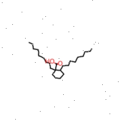 CCCCCCCCCC1CCCCC1(CCCCCCCCC)C(=O)O